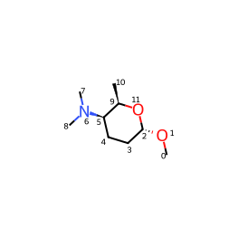 CO[C@@H]1CC[C@@H](N(C)C)[C@@H](C)O1